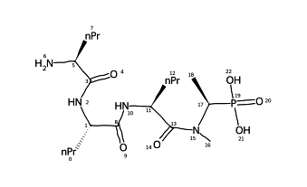 CCC[C@H](NC(=O)[C@@H](N)CCC)C(=O)N[C@@H](CCC)C(=O)N(C)[C@@H](C)P(=O)(O)O